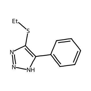 CCSc1nn[nH]c1-c1ccccc1